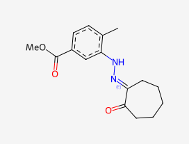 COC(=O)c1ccc(C)c(N/N=C2\CCCCCC2=O)c1